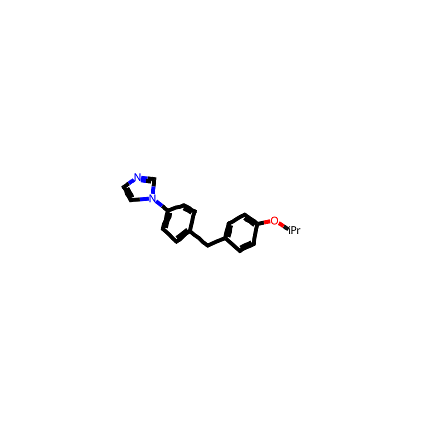 CC(C)Oc1ccc(Cc2ccc(-n3ccnc3)cc2)cc1